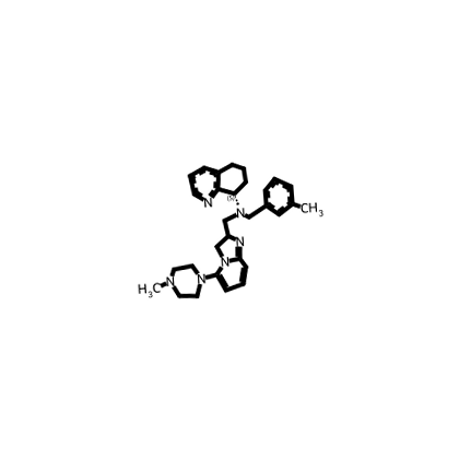 Cc1cccc(CN(CC2CN3C(N4CCN(C)CC4)=CC=CC3=N2)[C@H]2CCCc3cccnc32)c1